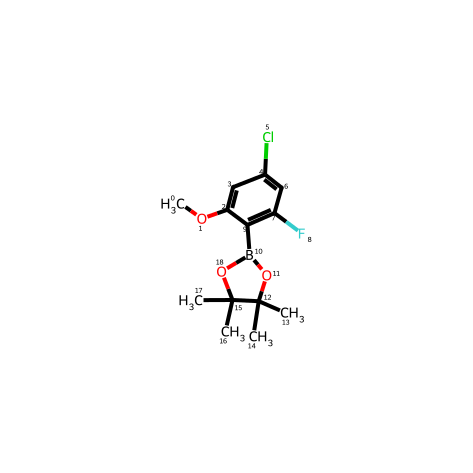 COc1cc(Cl)cc(F)c1B1OC(C)(C)C(C)(C)O1